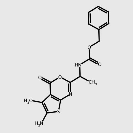 Cc1c(N)sc2nc(C(C)NC(=O)OCc3ccccc3)oc(=O)c12